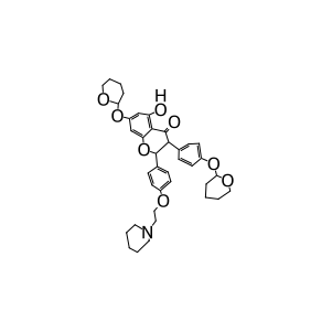 O=C1c2c(O)cc(OC3CCCCO3)cc2OC(c2ccc(OCCN3CCCCC3)cc2)C1c1ccc(OC2CCCCO2)cc1